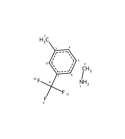 CN.Cc1cccc(C(F)(F)F)c1